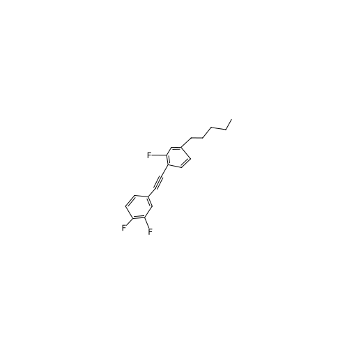 CCCCCc1ccc(C#Cc2ccc(F)c(F)c2)c(F)c1